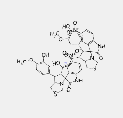 COc1ccc(C2C3CSCN3C3(C(=O)Nc4ccc([N+](=O)[O-])cc43)C2/C(O)=C/C(=O)C2C3CSCN3C3(C(=O)Nc4ccc([N+](=O)[O-])cc43)C2c2ccc(O)c(OC)c2)cc1O